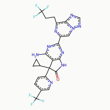 Nc1nc(-c2cn3ncnc3c(CCC(F)(F)F)n2)nc2c1C(c1ccc(C(F)(F)F)cn1)(C1CC1)C(=O)N2